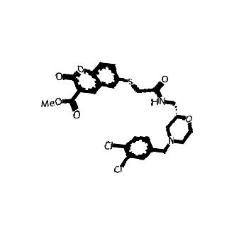 COC(=O)c1cc2cc(SCC(=O)NC[C@H]3CN(Cc4ccc(Cl)c(Cl)c4)CCO3)ccc2oc1=O